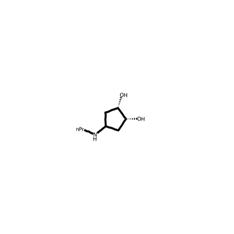 [CH2]CCNC1C[C@@H](O)[C@@H](O)C1